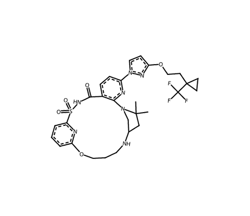 CC1(C)CC2CN1c1nc(-n3ccc(OCCC4(C(F)(F)F)CC4)n3)ccc1C(=O)NS(=O)(=O)c1cccc(n1)OCCCN2